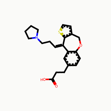 O=C(O)CCc1ccc2c(c1)C(=CCCN1CCCC1)c1sccc1CO2